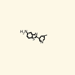 Cc1cncc(-c2nc3cc(N)ccc3s2)c1